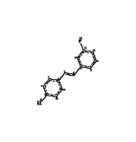 CCc1ccc(/C=C/c2cccc(F)c2)cc1